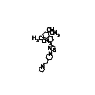 CC1(C)CCC(C)(C)c2cc(-c3csc(N4CCC(CCN5CCCC5)CC4)n3)ccc21